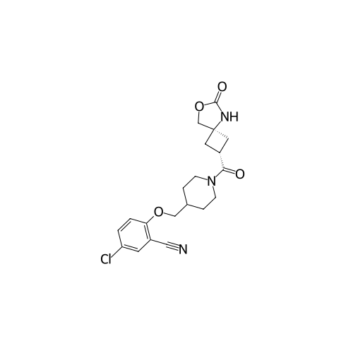 N#Cc1cc(Cl)ccc1OCC1CCN(C(=O)[C@H]2C[C@@]3(COC(=O)N3)C2)CC1